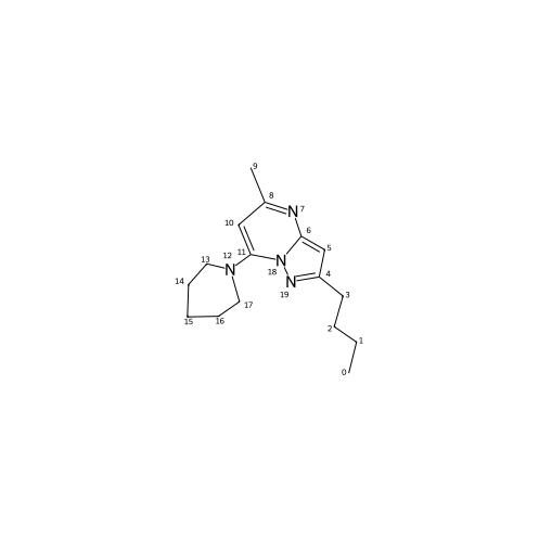 CCCCc1cc2nc(C)cc(N3CCCCC3)n2n1